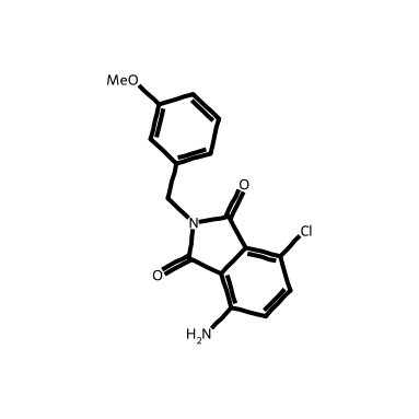 COc1cccc(CN2C(=O)c3c(N)ccc(Cl)c3C2=O)c1